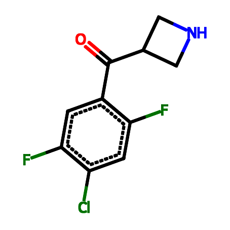 O=C(c1cc(F)c(Cl)cc1F)C1CNC1